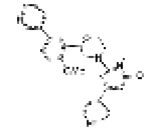 COc1ccc(-c2cccnc2)cc1C1CN(c2nc(-c3ccncc3)cc(=O)n2C)CCO1